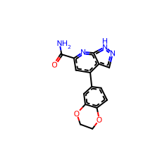 NC(=O)c1cc(-c2ccc3c(c2)OCCO3)c2cn[nH]c2n1